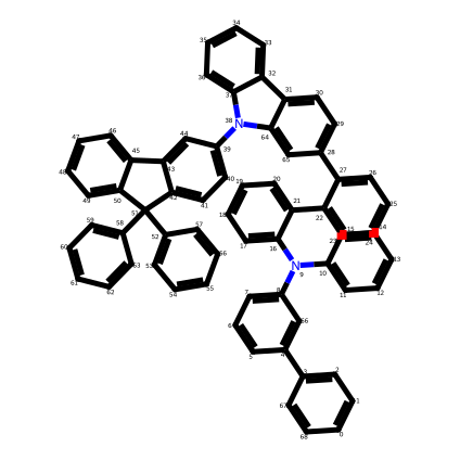 c1ccc(-c2cccc(N(c3ccccc3)c3ccccc3-c3ccccc3-c3ccc4c5ccccc5n(-c5ccc6c(c5)-c5ccccc5C6(c5ccccc5)c5ccccc5)c4c3)c2)cc1